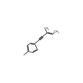 C/C=C(\C)C#Cc1ccc(F)cc1